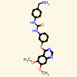 COc1cc2ncnc(Sc3cccc(NC(=O)Nc4ccc(CN)cc4)c3)c2cc1OC